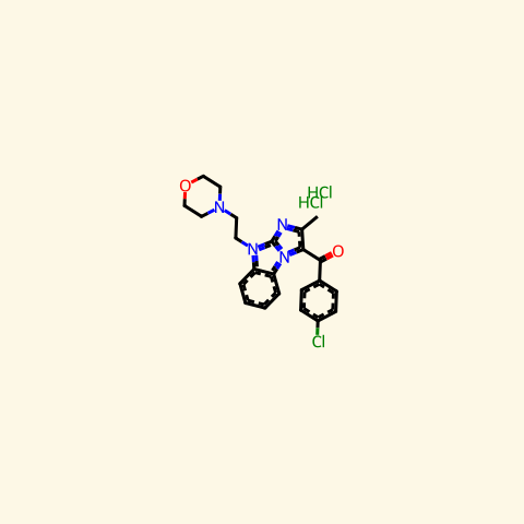 Cc1nc2n(CCN3CCOCC3)c3ccccc3n2c1C(=O)c1ccc(Cl)cc1.Cl.Cl